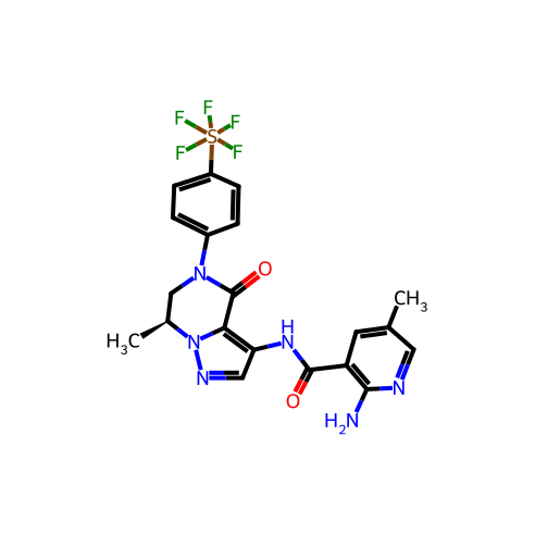 Cc1cnc(N)c(C(=O)Nc2cnn3c2C(=O)N(c2ccc(S(F)(F)(F)(F)F)cc2)C[C@@H]3C)c1